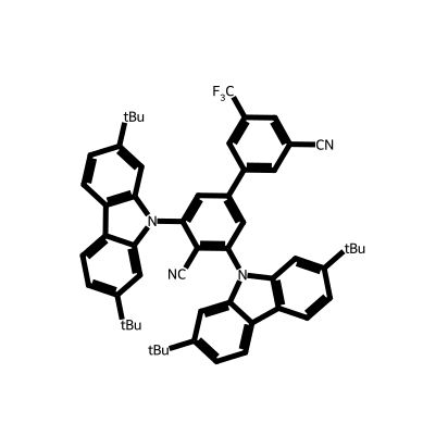 CC(C)(C)c1ccc2c3ccc(C(C)(C)C)cc3n(-c3cc(-c4cc(C#N)cc(C(F)(F)F)c4)cc(-n4c5cc(C(C)(C)C)ccc5c5ccc(C(C)(C)C)cc54)c3C#N)c2c1